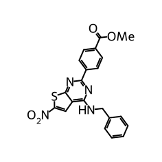 COC(=O)c1ccc(-c2nc(NCc3ccccc3)c3cc([N+](=O)[O-])sc3n2)cc1